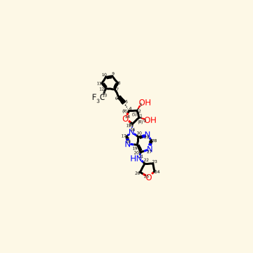 O[C@@H]1[C@H](O)[C@@H](C#Cc2ccccc2C(F)(F)F)O[C@H]1n1cnc2c(NC3CCOC3)ncnc21